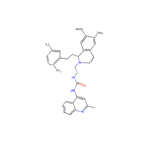 COc1cc2c(cc1OC)C(CCc1cc(C(F)(F)F)ccc1C(F)(F)F)N(CCNC(=O)Nc1cc(C)nc3ccccc13)CC2